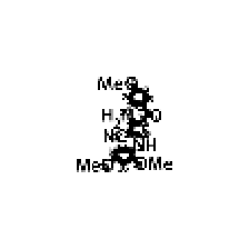 COc1ccc(C(=O)c2sc(Nc3ccc(OC)cc3OC)c(C#N)c2N)cc1